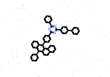 c1ccc(-c2ccc(-c3nc(-c4ccccc4)nc(-c4ccc(-c5c6ccccc6c(-c6ccccc6)c6ccc7ccccc7c56)cc4)n3)cc2)cc1